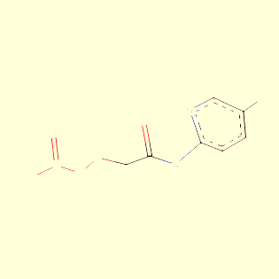 Cc1ccc(NC(=O)CSOS(=O)O)nc1